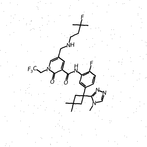 Cn1cnnc1C1(c2ccc(F)c(NC(=O)c3cc(CNCCC(C)(C)F)cn(CC(F)(F)F)c3=O)c2)CC(C)(C)C1